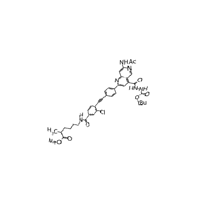 COC(=O)C(C)CCCCNC(=O)c1ccc(C#Cc2ccc(-c3cc(C(=O)NNC(=O)OC(C)(C)C)c4cnc(NC(C)=O)cc4n3)cc2)c(Cl)c1